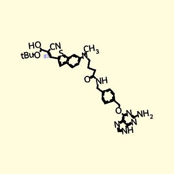 CN(CCCC(=O)NCc1ccc(COc2nc(N)nc3[nH]cnc23)cc1)c1ccc2cc(/C=C(\C#N)C(O)OC(C)(C)C)sc2c1